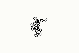 c1ccc(-c2ccc(-c3nc(-c4ccccc4)nc(-c4ccc(-n5c6ccccc6c6cc(-n7c8ccccc8c8ccccc87)c7c8ccccc8n(-c8ccccc8)c7c65)c5c4oc4ccccc45)n3)cc2)cc1